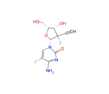 C#CC1(F)[C@@H](O)[C@@H](CO)O[C@H]1n1cc(F)c(N)nc1=O